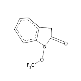 O=C1Cc2ccccc2N1OC(F)(F)F